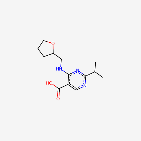 CC(C)c1ncc(C(=O)O)c(NCC2CCCO2)n1